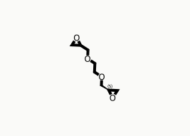 C(COC[C@H]1CO1)OCC1CO1